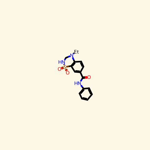 CCN1CNS(=O)(=O)c2cc(C(=O)Nc3ccccc3)ccc21